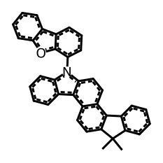 CC1(C)c2ccccc2-c2c1ccc1c2ccc2c1c1ccccc1n2-c1cccc2c1oc1ccccc12